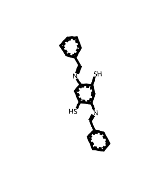 Sc1cc(N=Cc2ccccc2)c(S)cc1N=Cc1ccccc1